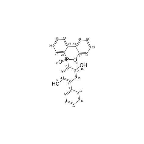 O=P1(c2cc(O)c(-c3ccccc3)cc2O)Oc2ccccc2-c2ccccc21